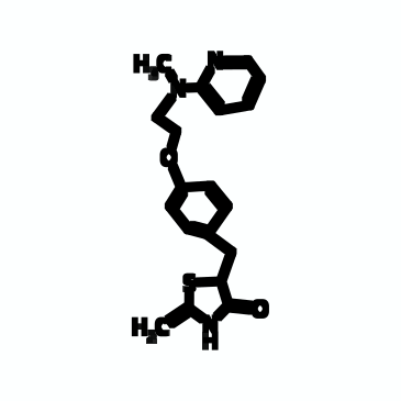 C=C1NC(=O)C(Cc2ccc(OCCN(C)c3ccccn3)cc2)S1